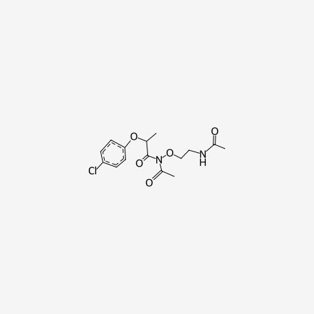 CC(=O)NCCON(C(C)=O)C(=O)C(C)Oc1ccc(Cl)cc1